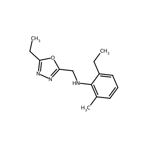 CCc1nnc(CNc2c(C)cccc2CC)o1